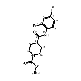 CC(C)(C)OC(=O)N1CCC(C(=O)Nc2ccc(F)cc2Br)CC1